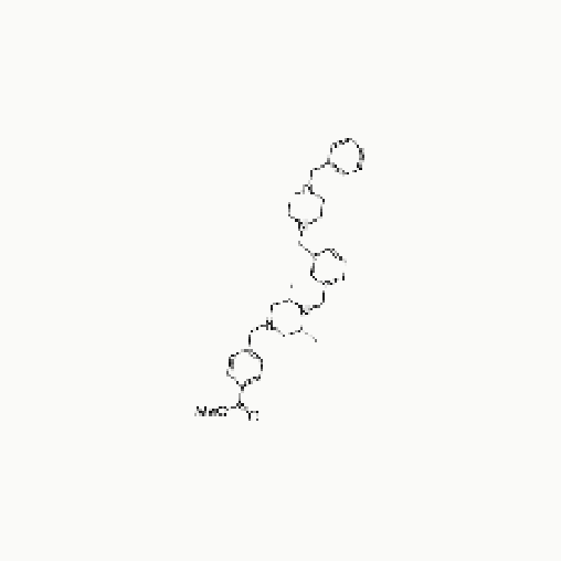 COC(=O)c1ccc(CN2C[C@@H](C)N(Cc3cccc(CN4CCN(Cc5ccccc5)CC4)c3)[C@@H](C)C2)cc1